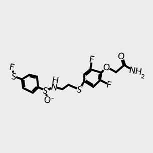 NC(=O)COc1c(F)cc(SCCN[S+]([O-])c2ccc(SF)cc2)cc1F